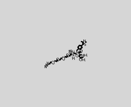 Cc1ncsc1-c1ccc(CN(C(=O)[C@@H]2C[C@@H](O)CN2)C(=O)[C@@H](NC(=O)COCCOCCOCCOCCN=[N+]=[N-])C(C)(C)C)cc1